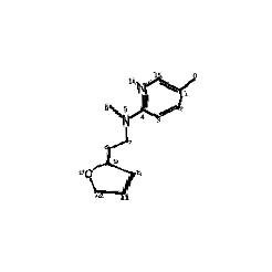 Cc1ccc(N(C)CCC2CCCO2)nc1